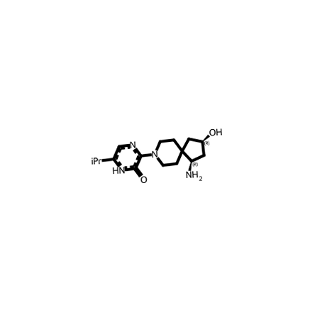 CC(C)c1cnc(N2CCC3(CC2)C[C@@H](O)C[C@H]3N)c(=O)[nH]1